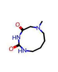 CN1CCCCNC(=O)NC(=O)C1